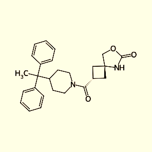 CC(c1ccccc1)(c1ccccc1)C1CCN(C(=O)[C@H]2C[C@]3(COC(=O)N3)C2)CC1